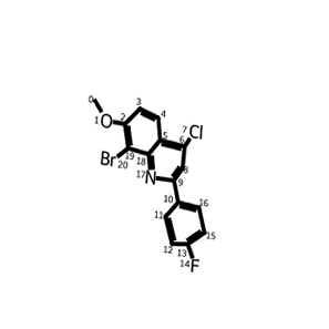 COc1ccc2c(Cl)cc(-c3ccc(F)cc3)nc2c1Br